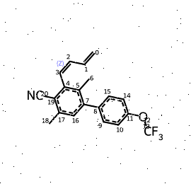 C=C/C=C\c1c(C)c(-c2ccc(OC(F)(F)F)cc2)cc(C)c1C#N